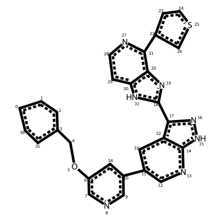 c1ccc(COc2cncc(-c3cnc4[nH]nc(-c5nc6c(-c7ccsc7)nccc6[nH]5)c4c3)c2)cc1